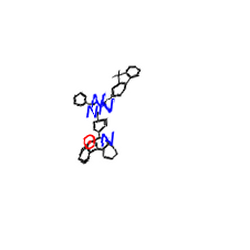 CC1(C)c2ccccc2-c2ccc(-c3nc(-c4ccccc4)nc(-c4ccc(-c5nc6c(c7c5oc5ccccc57)C=CCC6)cc4)n3)cc21